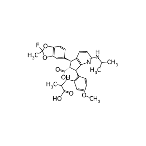 COc1ccc([C@@H]2c3nc(NC(C)C)ccc3[C@H](c3ccc4c(c3)OC(C)(F)O4)[C@H]2C(=O)O)c(CC(C)C(=O)O)c1